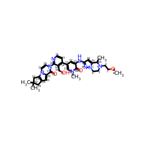 COCCN1CCn2nc(Nc3cc(-c4ccnc(-n5ccn6c7c(cc6c5=O)CC(C)(C)C7)c4CO)cn(C)c3=O)cc2C1C